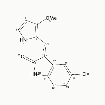 COc1cc[nH]c1/C=C1\C(=O)Nc2ccc(Cl)cc21